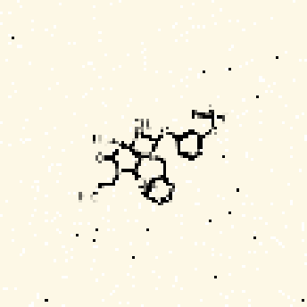 C=C1C2=C(N(C)C(=O)N1CCC)N(C)C(Oc1cccc(OC(F)(F)F)c1)N2Cc1ccccc1